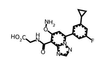 NOc1cc(-c2cc(F)cc(C3CC3)c2)n2ncnc2c1C(=O)NCC(=O)O